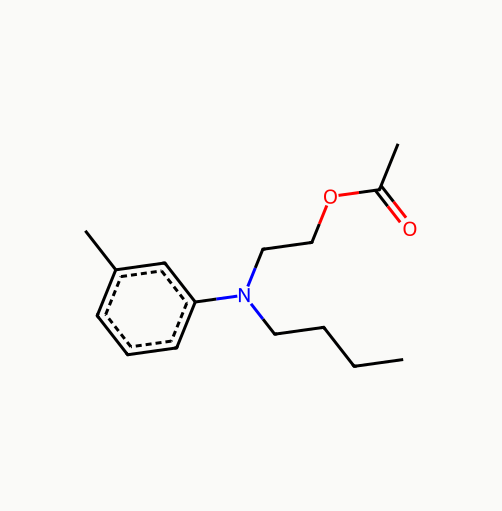 CCCCN(CCOC(C)=O)c1cccc(C)c1